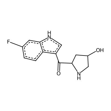 O=C(c1c[nH]c2cc(F)ccc12)C1CC(O)CN1